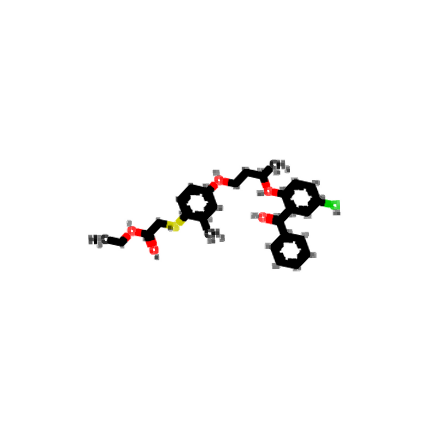 CCOC(=O)CSc1ccc(OCCC(C)Oc2ccc(Cl)cc2C(=O)c2ccccc2)cc1C